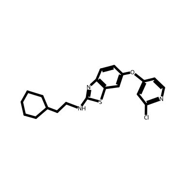 Clc1cc(Oc2ccc3nc(NCCC4CCCCC4)sc3c2)ccn1